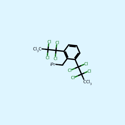 CC(C)[CH]c1c(C(Cl)(Cl)C(Cl)(Cl)C(Cl)(Cl)Cl)cccc1C(Cl)(Cl)C(Cl)(Cl)C(Cl)(Cl)Cl